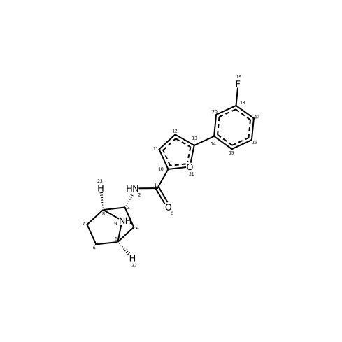 O=C(N[C@@H]1C[C@H]2CC[C@@H]1N2)c1ccc(-c2cccc(F)c2)o1